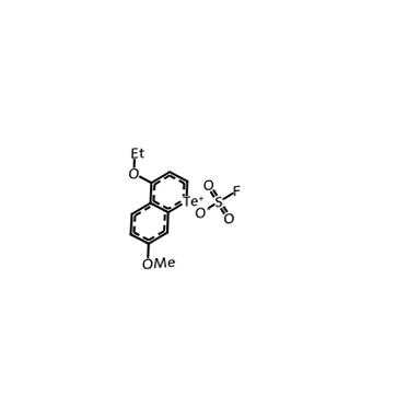 CCOc1cc[te+]c2cc(OC)ccc12.O=S(=O)([O-])F